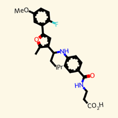 COc1ccc(F)c(-c2cc(C(CC(C)C)Nc3ccc(C(=O)NCCC(=O)O)cc3)c(C)o2)c1